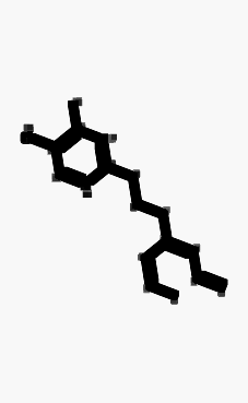 C=C/C=C(\C=C/C)CCCc1ncc(Cl)c(C)n1